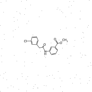 COC(=O)c1cccc(NC(=O)Cc2cccc(Cl)c2)c1